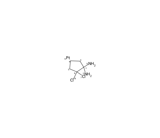 NC1(N)CCCC1(Cl)Cl.[Pt]